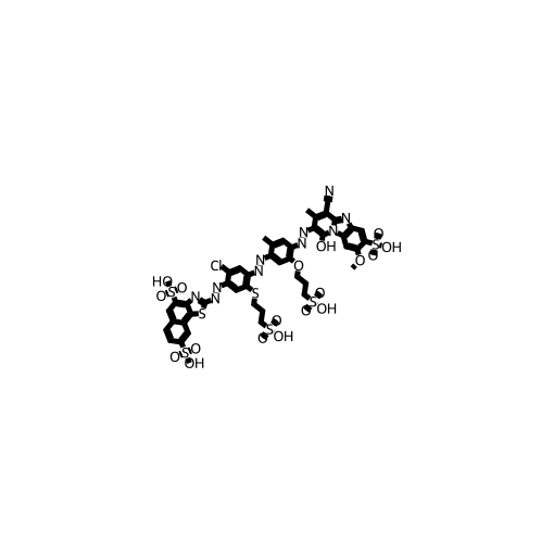 COc1cc2c(cc1S(=O)(=O)O)nc1c(C#N)c(C)c(N=Nc3cc(C)c(N=Nc4cc(Cl)c(N=Nc5nc6c(S(=O)(=O)O)cc7ccc(S(=O)(=O)O)cc7c6s5)cc4SCCCS(=O)(=O)O)cc3OCCCS(=O)(=O)O)c(O)n12